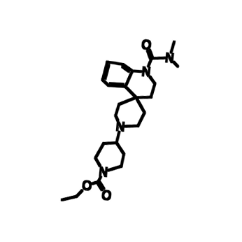 CCOC(=O)N1CCC(N2CCC3(CCN(C(=O)N(C)C)c4ccccc43)CC2)CC1